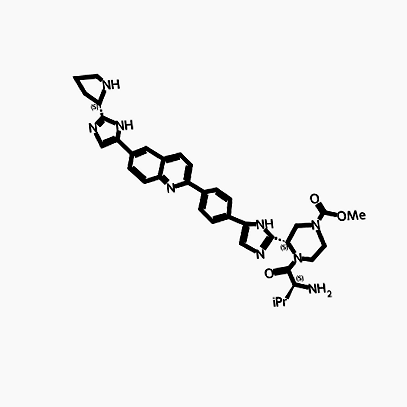 COC(=O)N1CCN(C(=O)[C@@H](N)C(C)C)[C@H](c2ncc(-c3ccc(-c4ccc5cc(-c6cnc([C@@H]7CCCN7)[nH]6)ccc5n4)cc3)[nH]2)C1